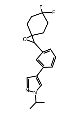 CC(C)n1cc(-c2cccc(C3OC34CCC(F)(F)CC4)c2)cn1